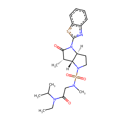 CCN(C(=O)CN(C)S(=O)(=O)N1CC[C@H]2[C@H]1[C@H](C)C(=O)N2c1nc2ccccc2s1)C(C)C